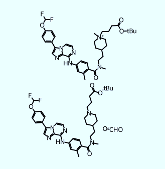 Cc1cc(Nc2nccn3c(-c4ccc(OC(F)F)cc4)cnc23)ccc1C(=O)N(C)CCC1CCN(CCCC(=O)OC(C)(C)C)CC1.Cc1cc(Nc2nccn3c(-c4ccc(OC(F)F)cc4)cnc23)ccc1C(=O)N(C)CCC1CC[N+](C)(CCCC(=O)OC(C)(C)C)CC1.O=C[O-]